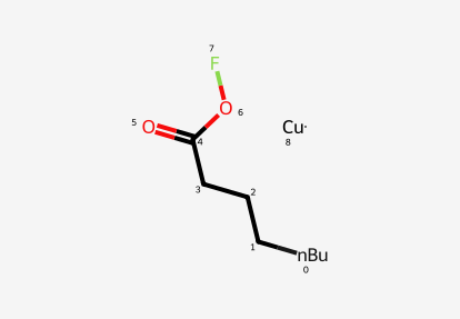 CCCCCCCC(=O)OF.[Cu]